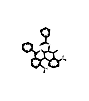 CPc1cccc2c1C(C)C(OC(=O)c1ccccc1)C(OC(=O)c1ccccc1)C2c1c(C)cccc1PC